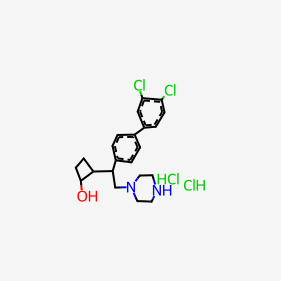 Cl.Cl.OC1CCC1C(CN1CCNCC1)c1ccc(-c2ccc(Cl)c(Cl)c2)cc1